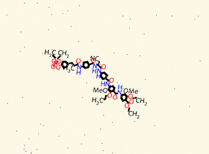 C=CCOC(=O)c1ccc(NC(=O)c2ccc(NC(=O)c3ccc(NC(=O)[C@H](CC#N)NC(=O)c4ccc(NC(=O)/C(C)=C/c5ccc(OP(=O)(OCC=C)OCC=C)cc5)cc4)cc3)c(OC)c2OCC=C)c(OC)c1OCC=C